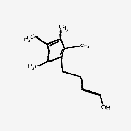 CC1=C(C)C(C)C(CCCCO)=C1C